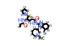 C=CC(=O)Nc1cc(C(=O)Nc2nc3cccc(C)c3n2[C@@H]2CCCCN(C(C)=O)C2)sc1-n1cccc1